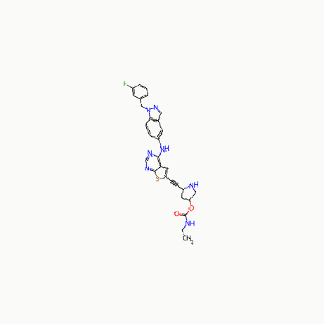 CCNC(=O)OC1CNC(C#Cc2cc3c(Nc4ccc5c(cnn5Cc5cccc(F)c5)c4)ncnc3s2)C1